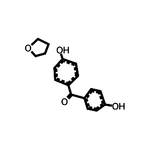 C1CCOC1.O=C(c1ccc(O)cc1)c1ccc(O)cc1